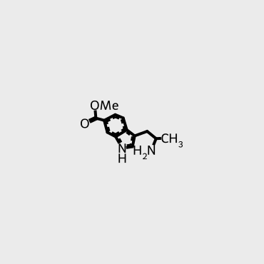 COC(=O)c1ccc2c(CC(C)N)c[nH]c2c1